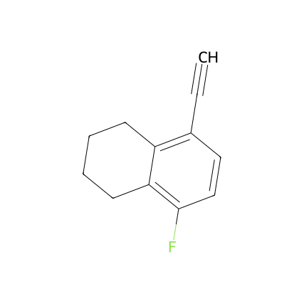 C#Cc1ccc(F)c2c1CCCC2